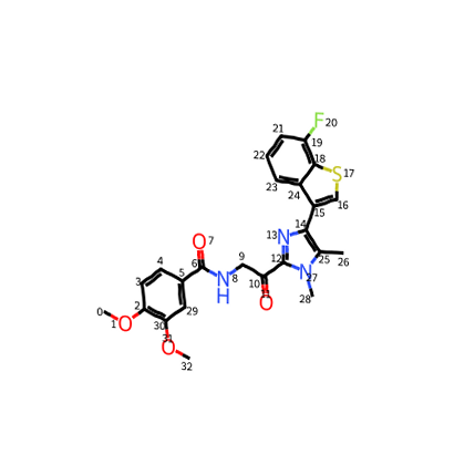 COc1ccc(C(=O)NCC(=O)c2nc(-c3csc4c(F)cccc34)c(C)n2C)cc1OC